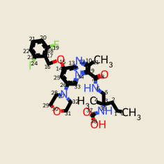 CCCC(C)(CNC(=O)c1c(C)nc2c(OCc3c(F)cccc3F)cc(N3CCOCC3)cn12)NC(=O)O